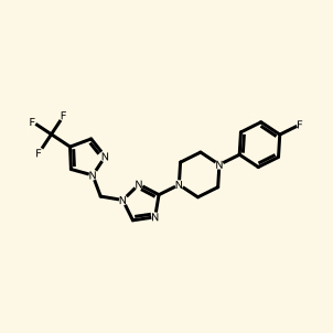 Fc1ccc(N2CCN(c3ncn(Cn4cc(C(F)(F)F)cn4)n3)CC2)cc1